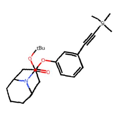 CC(C)(C)OC(=O)N1C2CCCC1CC(Oc1cccc(C#C[Si](C)(C)C)c1)C2